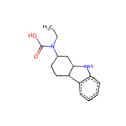 CCN(C(=O)O)C1CCC2c3ccccc3NC2C1